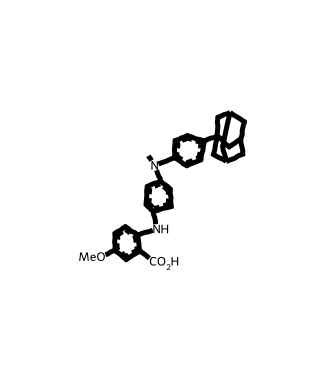 COc1ccc(Nc2ccc(N(C)c3ccc(C45CC6CC(CC(C6)C4)C5)cc3)cc2)c(C(=O)O)c1